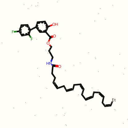 CC/C=C\C/C=C\C/C=C\C/C=C\C/C=C\C/C=C\CCC(=O)NCCCOC(=O)c1cc(-c2ccc(F)cc2F)ccc1O